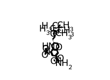 CC(C)(C)[Si](C)(C)OCC[C@@H]1COc2cc(S(N)(=O)=O)cc([N+](=O)[O-])c2N1